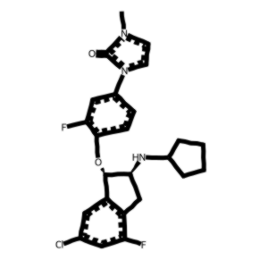 Cn1ccn(-c2ccc(O[C@H]3c4cc(Cl)cc(F)c4C[C@@H]3NC3CCCC3)c(F)c2)c1=O